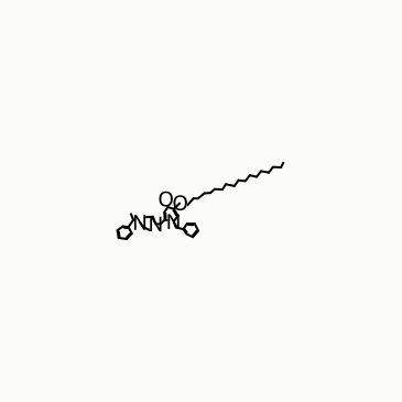 CCCCCCCCCCCCCCCCCCOc1cn(Cc2ccccc2)c(CN2CCN(C(C)c3ccccc3)CC2)cc1=O